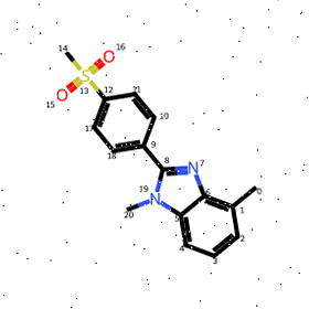 Cc1cccc2c1nc(-c1ccc(S(C)(=O)=O)cc1)n2C